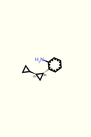 Nc1ccccc1[C@@H]1C[C@H]1C1CC1